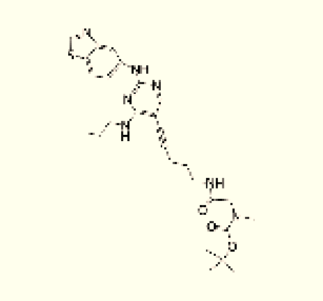 CCCNc1nc(Nc2ccc3scnc3c2)ncc1C#CCCCNC(=O)CN(C)C(=O)OC(C)(C)C